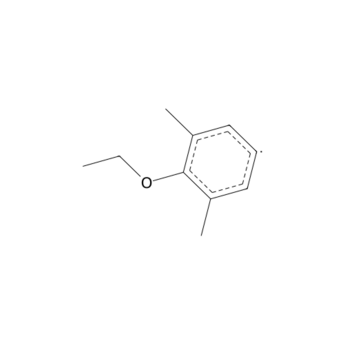 CCOc1c(C)c[c]cc1C